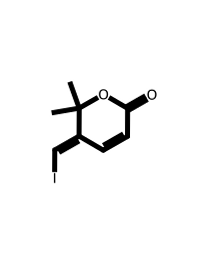 CC1(C)OC(=O)C=C/C1=C\I